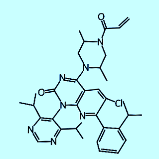 C=CC(=O)N1CC(C)N(c2nc(=O)n(-c3c(C(C)C)ncnc3C(C)C)c3nc(-c4ccccc4C(C)C)c(Cl)cc23)CC1C